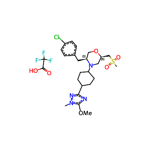 COc1nc(C2CCC(N3C[C@H](CS(C)(=O)=O)OC[C@@H]3Cc3ccc(Cl)cc3)CC2)nn1C.O=C(O)C(F)(F)F